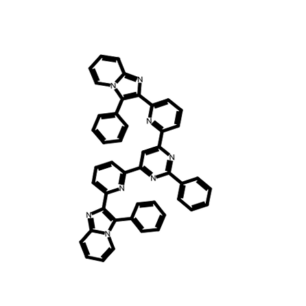 c1ccc(-c2nc(-c3cccc(-c4nc5ccccn5c4-c4ccccc4)n3)cc(-c3cccc(-c4nc5ccccn5c4-c4ccccc4)n3)n2)cc1